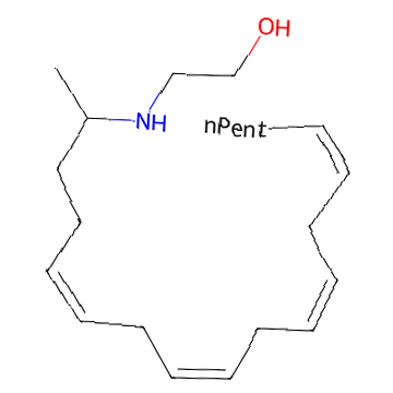 CCCCC/C=C\C/C=C\C/C=C\C/C=C\CCC(C)NCCO